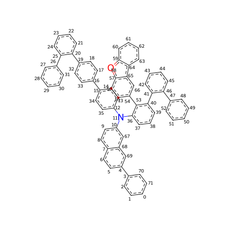 c1ccc(-c2ccc3ccc(N(c4ccc(-c5ccc(-c6ccccc6-c6ccccc6)cc5)cc4)c4cccc(-c5ccccc5-c5ccccc5)c4-c4ccc5oc6ccccc6c5c4)cc3c2)cc1